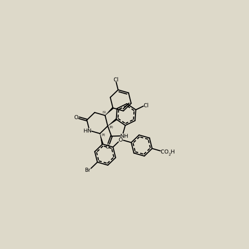 O=C1C[C@@H](C2C=CC=C(Cl)C2)[C@]2(C(=O)Nc3cc(Cl)ccc32)[C@@H](c2cc(Br)ccc2Oc2ccc(C(=O)O)cc2)N1